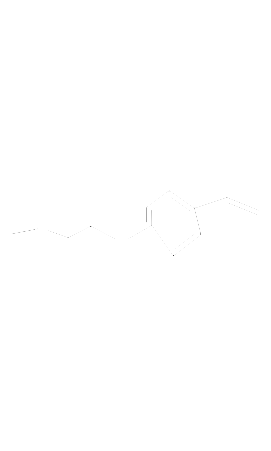 C=Cc1c[c]c(OCCOC)cc1